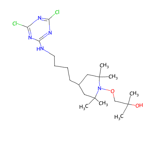 CC(C)(O)CON1C(C)(C)CC(CCCCNc2nc(Cl)nc(Cl)n2)CC1(C)C